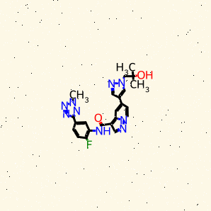 Cn1nnc(-c2ccc(F)c(NC(=O)c3cnn4ccc(-c5cnn(CC(C)(C)O)c5)cc34)c2)n1